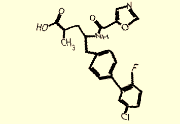 CC(CC(Cc1ccc(-c2cc(Cl)ccc2F)cc1)NC(=O)c1cnco1)C(=O)O